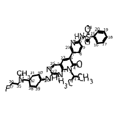 CC(C)n1c(=O)c(-c2ccc(NS(=O)(=O)c3ccccc3)nc2)cc2cnc(NC3CCC(N(C)CCF)CC3)nc21